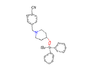 CC(C)(C)[Si](OC1CCN(Cc2ccc(C#N)cc2)CC1)(c1ccccc1)c1ccccc1